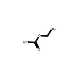 CCCC(=O)OCC(C)CC